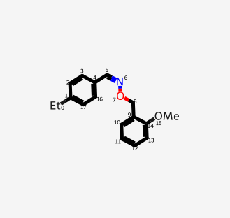 CCc1ccc(/[C]=N\OCc2ccccc2OC)cc1